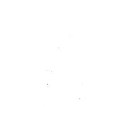 COC(=O)c1cc(Cl)nc(NCCN2CCOCC2)c1